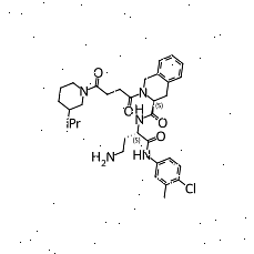 Cc1cc(NC(=O)[C@H](CCN)NC(=O)[C@@H]2Cc3ccccc3CN2C(=O)CCC(=O)N2CCCC(C(C)C)C2)ccc1Cl